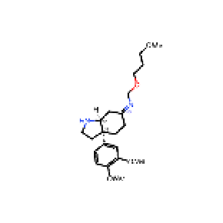 COCCCOC/N=C1/CC[C@@]2(c3ccc(OC)c(OC)c3)CCN[C@H]2C1